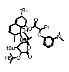 CCC(Oc1cccc(N(C)C)c1)C(=O)O[C@H]1C[C@H](C(C)(C)C)C=C2C=C[C@H](C)[C@](CC[C@@H]3C[C@H](C(C)(C)C)C(O[SiH](C)C)C(=O)O3)(O[SiH](C)C)[C@H]21